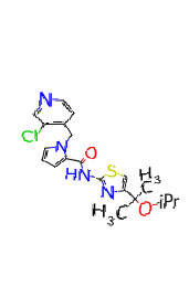 CC(C)OC(C)(C)c1csc(NC(=O)c2cccn2Cc2ccncc2Cl)n1